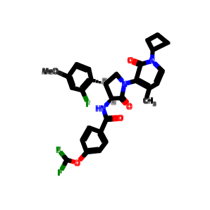 COc1ccc([C@@H]2CN(c3c(C)ccn(C4CCC4)c3=O)C(=O)[C@H]2NC(=O)c2ccc(OC(F)F)cc2)c(F)c1